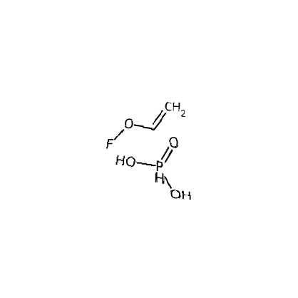 C=COF.O=[PH](O)O